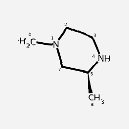 [CH2]N1CCN[C@@H](C)C1